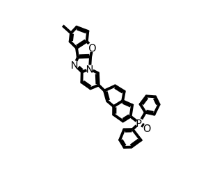 Cc1ccc2oc3c(nc4ccc(-c5ccc6cc(P(=O)(c7ccccc7)c7ccccc7)ccc6c5)cn43)c2c1